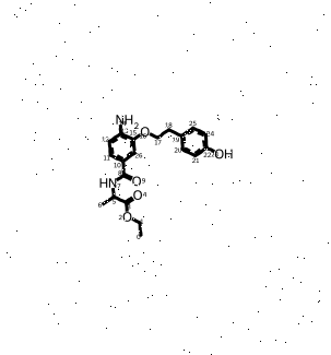 CCOC(=O)C(C)NC(=O)c1ccc(N)c(OCCc2ccc(O)cc2)c1